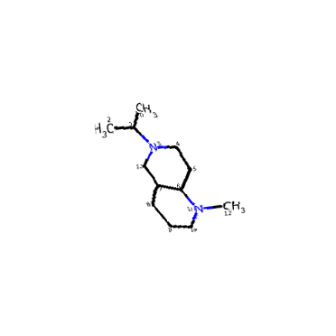 CC(C)N1CCC2C(CCCN2C)C1